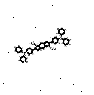 CC(C)(C)n1c(-c2ccc(N(c3ccccc3)c3ccccc3)cc2)cc2cc3c(cc(-c4ccc(N(c5ccccc5)c5ccccc5)cc4)n3C(C)(C)C)cc21